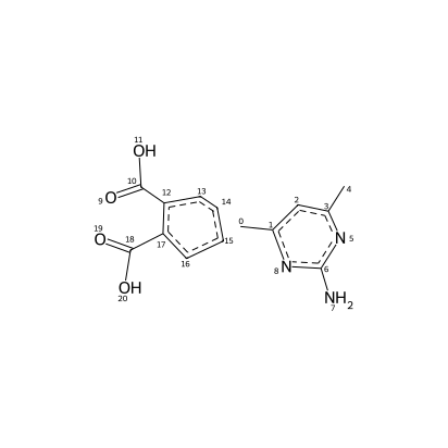 Cc1cc(C)nc(N)n1.O=C(O)c1ccccc1C(=O)O